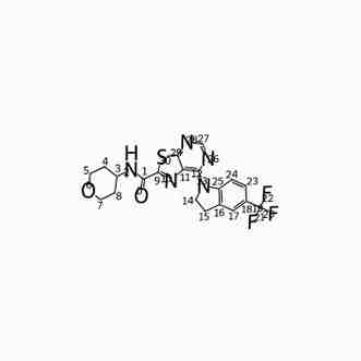 O=C(NC1CCOCC1)c1nc2c(N3CCc4cc(C(F)(F)F)ccc43)ncnc2s1